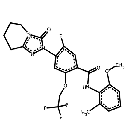 COc1cccc(C)c1NC(=O)c1cc(F)c(-n2nc3n(c2=O)CCCC3)cc1OCC(F)(F)F